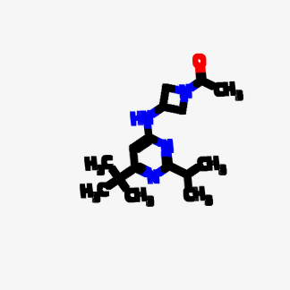 CC(=O)N1CC(Nc2cc(C(C)(C)C)nc(C(C)C)n2)C1